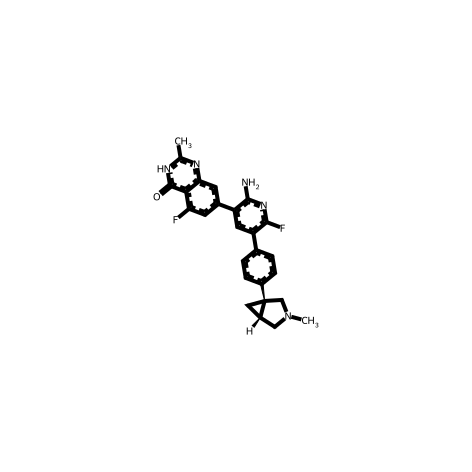 Cc1nc2cc(-c3cc(-c4ccc([C@]56C[C@H]5CN(C)C6)cc4)c(F)nc3N)cc(F)c2c(=O)[nH]1